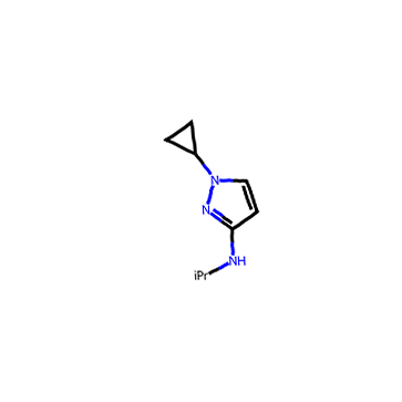 CC(C)Nc1ccn(C2CC2)n1